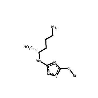 CCSc1nc(N[C@@H](CCCN)C(=O)O)ns1